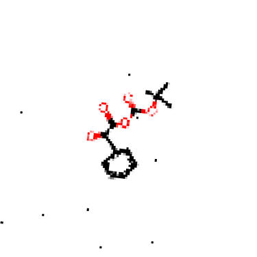 CC(C)(C)OC(=O)OC(=O)C(=O)c1ccccc1